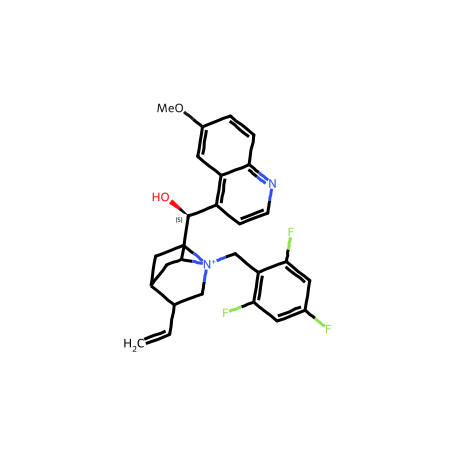 C=CC1C[N+]2(Cc3c(F)cc(F)cc3F)CCC1CC2[C@@H](O)c1ccnc2ccc(OC)cc12